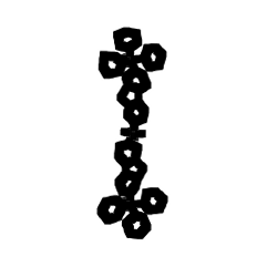 C[Si](C)(c1ccc2c(c1)Cc1cc([Si](c3ccccc3)(c3ccccc3)c3ccccc3)ccc1-2)c1ccc2c(c1)Cc1cc([Si](c3ccccc3)(c3ccccc3)c3ccccc3)ccc1-2